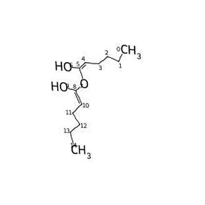 CCCCC=C(O)OC(O)=CCCCC